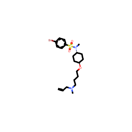 C=CCN(C)CCCCO[C@H]1CC[C@H](N(C)S(=O)(=O)c2ccc(Br)cc2)CC1